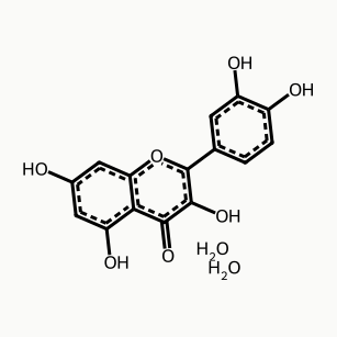 O.O.O=c1c(O)c(-c2ccc(O)c(O)c2)oc2cc(O)cc(O)c12